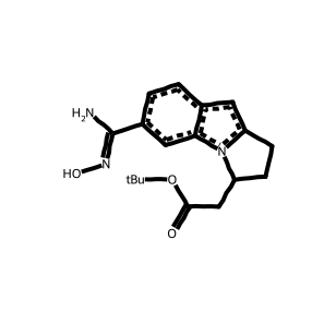 CC(C)(C)OC(=O)CC1CCc2cc3ccc(C(N)=NO)cc3n21